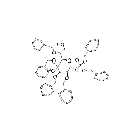 O=P(OCc1ccccc1)(OCc1ccccc1)O[C@H]1O[C@H]([C@@H](CO)OCc2ccccc2)C(O)(OCc2ccccc2)[C@H](OCc2ccccc2)[C@@H]1OCc1ccccc1